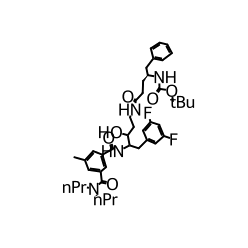 CCCN(CCC)C(=O)c1cc(C)cc(C(=O)NC(Cc2cc(F)cc(F)c2)C(O)CCNC(=O)CC[C@@H](Cc2ccccc2)NC(=O)OC(C)(C)C)c1